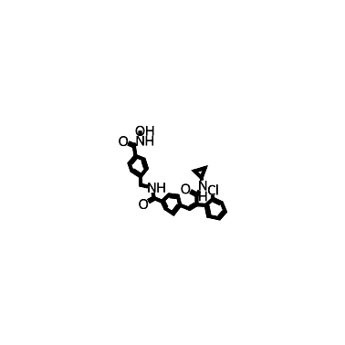 O=C(NC1CC1)/C(=C\c1ccc(C(=O)NCc2ccc(C(=O)NO)cc2)cc1)c1ccccc1Cl